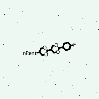 CCCCCC1COC(C2COC(C3CC=C(F)CC3)OC2)OC1